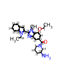 CCOc1cc(C(=O)N2CCCC(N)C2)cc2nc(-c3cc4ccccc4n3CC)n(C)c12